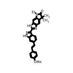 CCN1C(=O)C(C)(C)c2cc3nc(-c4n[nH]c5cc(C=Cc6ccc(OC)cc6)ccc45)[nH]c3cc21